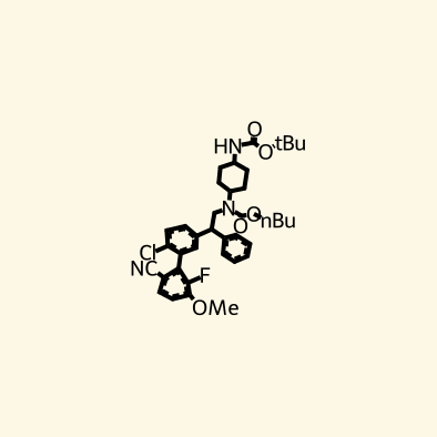 CCCCOC(=O)N(CC(c1ccccc1)c1ccc(Cl)c(-c2c(C#N)ccc(OC)c2F)c1)C1CCC(NC(=O)OC(C)(C)C)CC1